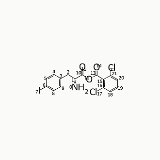 N[C@@H](Cc1ccc(I)cc1)C(=O)OC(=O)c1c(Cl)cccc1Cl